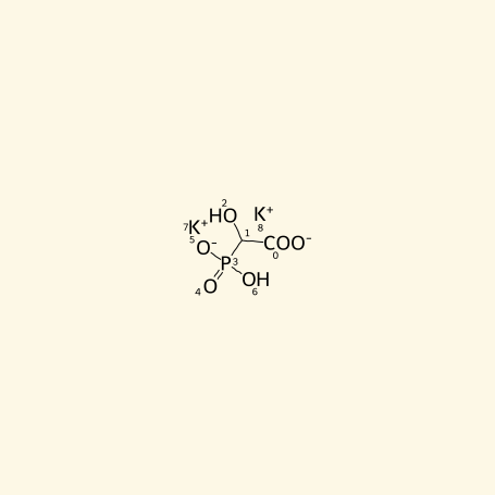 O=C([O-])C(O)P(=O)([O-])O.[K+].[K+]